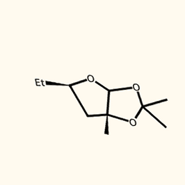 CC[C@@H]1C[C@@]2(C)OC(C)(C)OC2O1